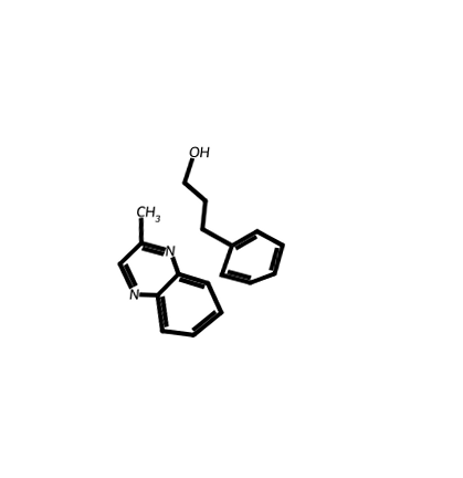 Cc1cnc2ccccc2n1.OCCCc1ccccc1